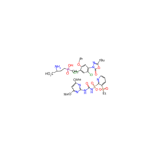 CC(C)Oc1cc(-n2nc(C(C)(C)C)oc2=O)c(Cl)cc1Cl.CCS(=O)(=O)c1cccnc1S(=O)(=O)NC(=O)Nc1nc(OC)cc(OC)n1.CP(=O)(O)CCC(N)C(=O)O